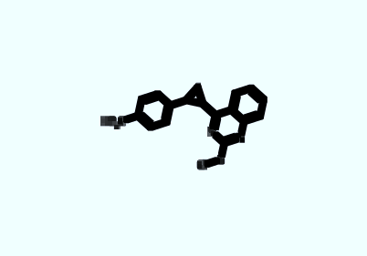 O=C(O)c1ccc(C2CC2c2nc(SCl)nc3ccccc23)cc1